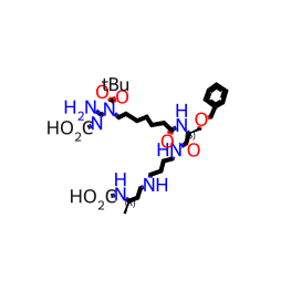 C[C@H](CCNCCCCNC(=O)[C@H](COCc1ccccc1)NC(=O)CCCCCCN(C(=O)OC(C)(C)C)C(N)=NC(=O)O)NC(=O)O